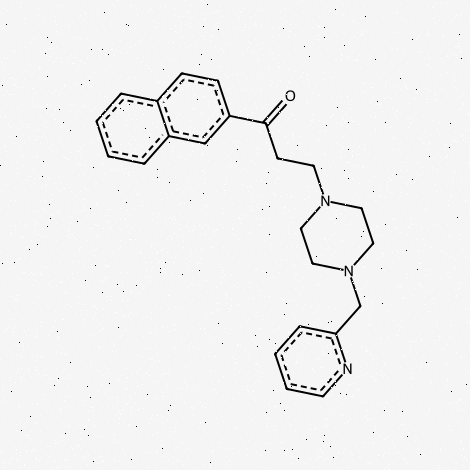 O=C(CCN1CCN(Cc2ccccn2)CC1)c1ccc2ccccc2c1